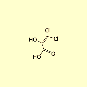 O=C(O)C(O)=C(Cl)Cl